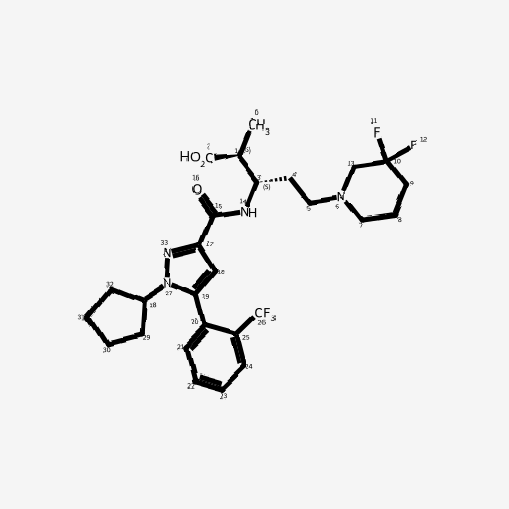 C[C@H](C(=O)O)[C@H](CCN1CCCC(F)(F)C1)NC(=O)c1cc(-c2ccccc2C(F)(F)F)n(C2CCCC2)n1